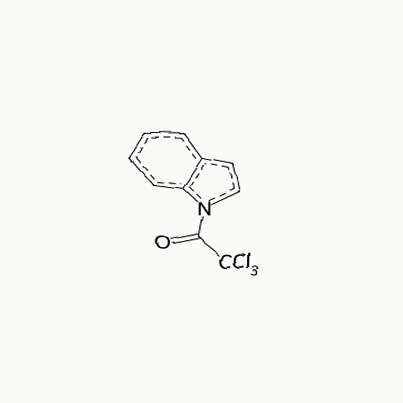 O=C(n1ccc2ccccc21)C(Cl)(Cl)Cl